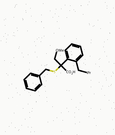 COCC(SCc1ccccc1)(C(=O)O)c1ccccc1CC(C)C